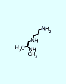 CN/C(C)=C\NCCCN